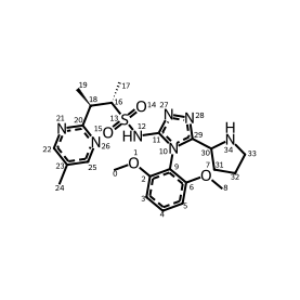 COc1cccc(OC)c1-n1c(NS(=O)(=O)[C@@H](C)[C@H](C)c2ncc(C)cn2)nnc1C1CCCN1